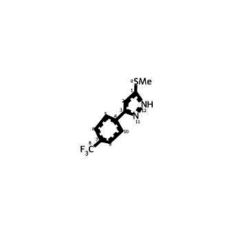 CSc1cc(-c2ccc(C(F)(F)F)cc2)n[nH]1